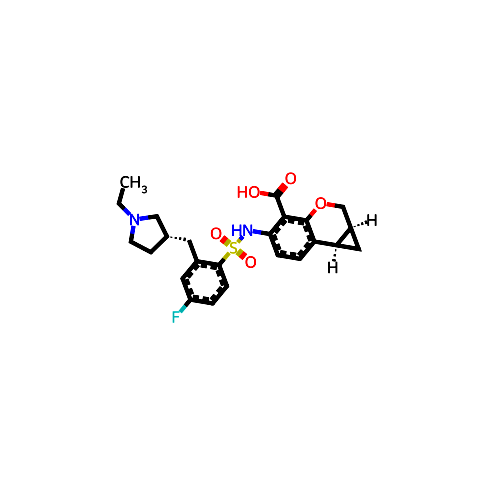 CCN1CC[C@@H](Cc2cc(F)ccc2S(=O)(=O)Nc2ccc3c(c2C(=O)O)OC[C@H]2C[C@@H]32)C1